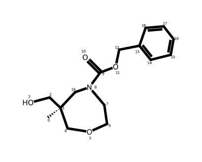 C[C@@]1(CO)COCCN(C(=O)OCc2ccccc2)C1